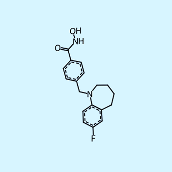 O=C(NO)c1ccc(CN2CCCCc3cc(F)ccc32)cc1